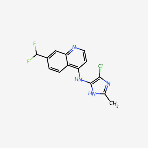 Cc1nc(Cl)c(Nc2ccnc3cc(C(F)F)ccc23)[nH]1